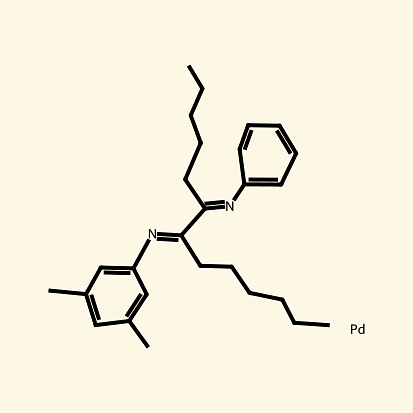 CCCCCCC(=N\c1cc(C)cc(C)c1)/C(CCCCC)=N/c1ccccc1.[Pd]